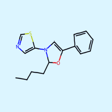 CCCCC1OC(c2ccccc2)=[C]N1c1cncs1